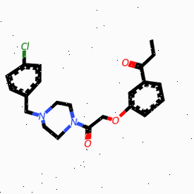 CCC(=O)c1cccc(OCC(=O)N2CCN(Cc3ccc(Cl)cc3)CC2)c1